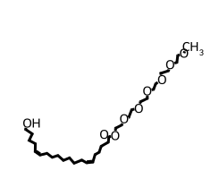 COCCOCCOCCOCCOCCOCCOC(=O)CCCC/C=C\CCCCCCC/C=C\CCCCO